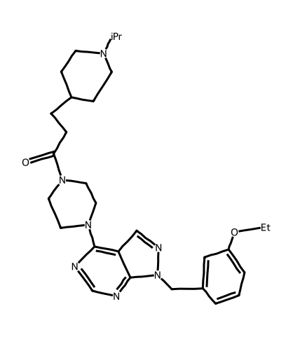 CCOc1cccc(Cn2ncc3c(N4CCN(C(=O)CCC5CCN(C(C)C)CC5)CC4)ncnc32)c1